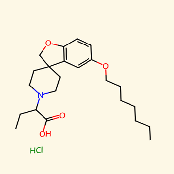 CCCCCCCOc1ccc2c(c1)C1(CCN(C(CC)C(=O)O)CC1)CO2.Cl